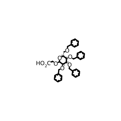 O=C(O)COC1O[C@H](COCc2ccccc2)[C@H](OCc2ccccc2)[C@H](OCc2ccccc2)[C@H]1OCc1ccccc1